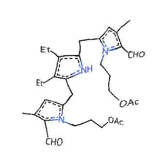 CCc1c(Cc2cc(C)c(C=O)n2CCCOC(C)=O)[nH]c(Cc2cc(C)c(C=O)n2CCCOC(C)=O)c1CC